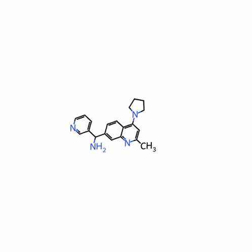 Cc1cc(N2CCCC2)c2ccc(C(N)c3cccnc3)cc2n1